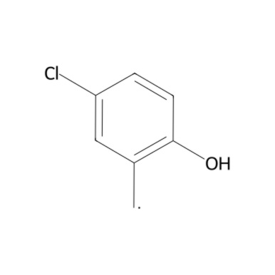 [CH2]c1cc(Cl)ccc1O